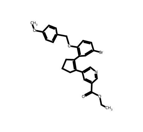 CCOC(=O)c1cncc(C2=C(c3cc(Br)ccc3OCc3ccc(OC)cc3)CCC2)c1